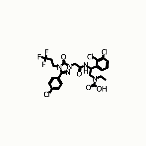 CCN(CC(NC(=O)Cn1nc(-c2ccc(Cl)cc2)n(CCC(F)(F)F)c1=O)c1cccc(Cl)c1Cl)C(=O)O